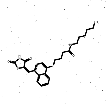 CCCCCCNC(=O)CCCOc1ccc(/C=C2/SC(=O)NC2=O)c2ccccc12